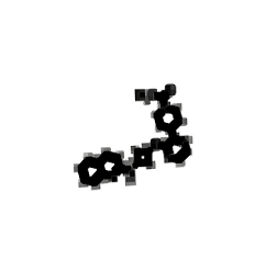 CC(=O)N1CCC(c2nccnc2O[C@H]2C[C@@H](Nc3ccc4ccccc4n3)C2)CC1